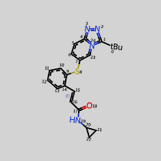 CC(C)(C)c1nnc2ccc(Sc3ccccc3/C=C/C(=O)NC3CC3)cn12